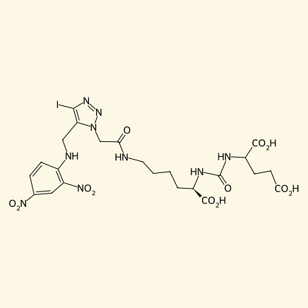 O=C(O)CCC(NC(=O)N[C@H](CCCCNC(=O)Cn1nnc(I)c1CNc1ccc([N+](=O)[O-])cc1[N+](=O)[O-])C(=O)O)C(=O)O